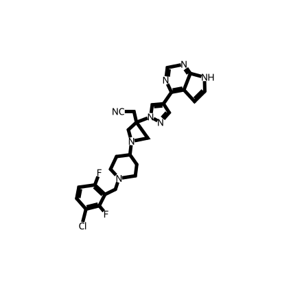 N#CCC1(n2cc(-c3ncnc4[nH]ccc34)cn2)CN(C2CCN(Cc3c(F)ccc(Cl)c3F)CC2)C1